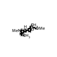 CNc1nc2[nH]c(-c3cccc(CN(C)C(=O)CCOC)c3)cc2c2c1ncn2C